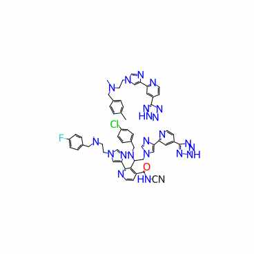 CN(CCn1cnc(-c2nccc(C(=O)NC#N)c2C(Cn2cnc(-c3cc(-c4nn[nH]n4)ccn3)c2)N(C)Cc2ccc(Cl)cc2)c1)Cc1ccc(F)cc1.Cc1ccc(CN(C)CCn2cnc(-c3cc(-c4nn[nH]n4)ccn3)c2)cc1